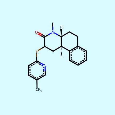 CN1C(=O)C(Sc2ccc(C(F)(F)F)cn2)C[C@]2(C)c3ccccc3CC[C@@H]12